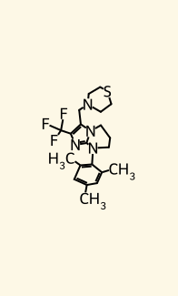 Cc1cc(C)c(N2CCCn3c2nc(C(F)(F)F)c3CN2CCSCC2)c(C)c1